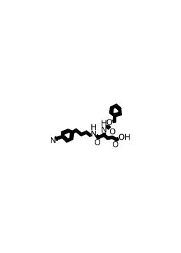 N#Cc1ccc(CCCCNC(=O)C(CCC(=O)O)NC(=O)OCc2ccccc2)cc1